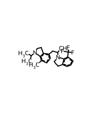 Cc1ccc(CC(C)N2CCc3cccc(C(F)(F)F)c32)c2c1N(C(C)C)CC2